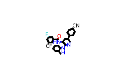 Cc1ccccc1Nc1ncc(-c2ccc(C#N)cc2)cc1NC(=O)c1cc(F)cc(C(F)(F)F)c1